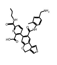 CCCNC(=O)c1ccc(-c2cc3c(cc2C(=O)Nc2ccc(CN)cc2C)-c2cscc2CO3)c(C(=O)O)n1